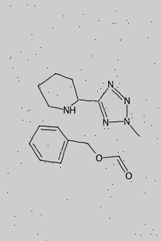 Cn1nnc(C2CCCCN2)n1.O=COCc1ccccc1